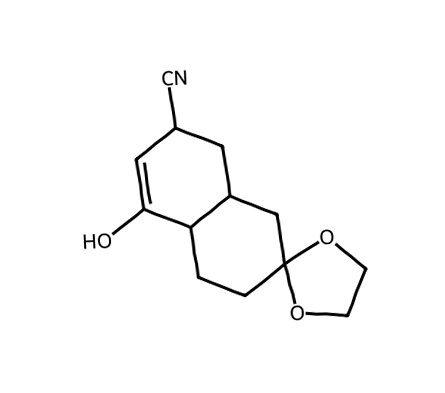 N#CC1C=C(O)C2CCC3(CC2C1)OCCO3